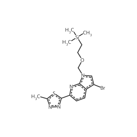 Cc1nnc(-c2ccc3c(Br)cn(COCC[Si](C)(C)C)c3n2)s1